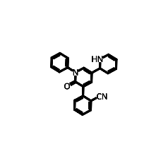 N#Cc1ccccc1-c1cc(C2C=CC=CN2)cn(-c2ccccc2)c1=O